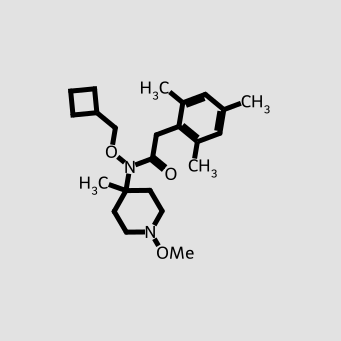 CON1CCC(C)(N(OCC2CCC2)C(=O)Cc2c(C)cc(C)cc2C)CC1